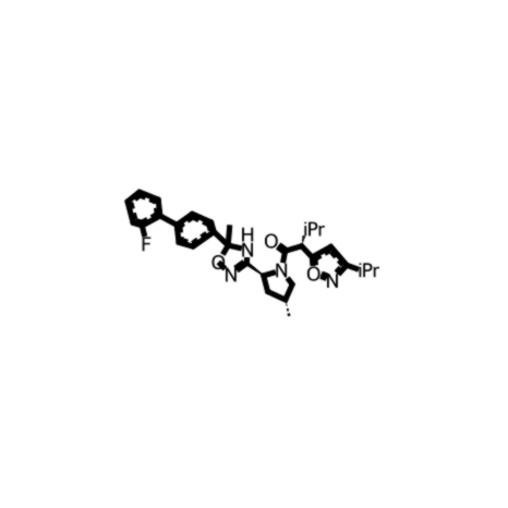 CC(C)c1cc([C@H](C(=O)N2C[C@H](C)C[C@H]2C2=NOC(C)(c3ccc(-c4ccccc4F)cc3)N2)C(C)C)on1